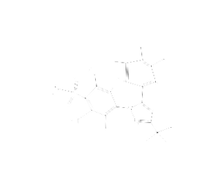 [2H]c1c([2H])c(-c2cc(C(F)(F)F)nn2-c2c([2H])c([2H])c(S(N)(=O)=O)c([2H])c2[2H])c([2H])c([2H])c1C